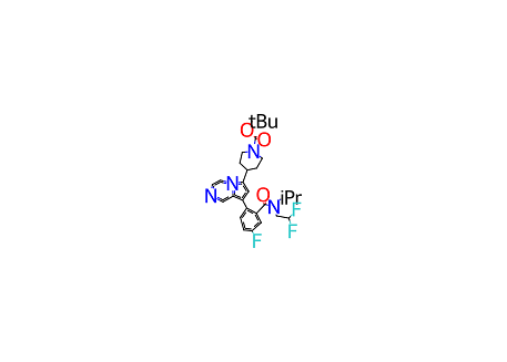 CC(C)N(CC(F)F)C(=O)c1cc(F)ccc1-c1cc(C2CCN(C(=O)OC(C)(C)C)CC2)n2ccncc12